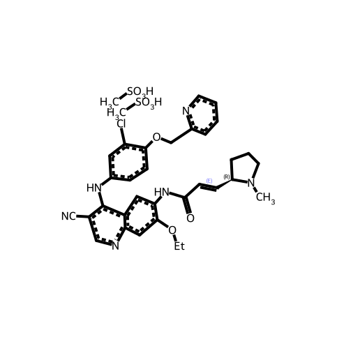 CCOc1cc2ncc(C#N)c(Nc3ccc(OCc4ccccn4)c(Cl)c3)c2cc1NC(=O)/C=C/[C@H]1CCCN1C.CS(=O)(=O)O.CS(=O)(=O)O